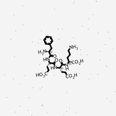 NCCC[C@H](NC(=O)[C@H](CCC(=O)O)NC(=O)[C@H](CCC(=O)O)NC(=O)[C@@H](N)Cc1ccccc1)C(=O)O